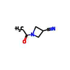 [CH2]C(=O)N1CC(C#N)C1